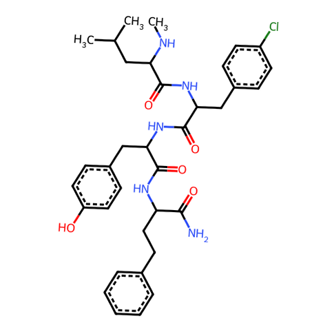 CNC(CC(C)C)C(=O)NC(Cc1ccc(Cl)cc1)C(=O)NC(Cc1ccc(O)cc1)C(=O)NC(CCc1ccccc1)C(N)=O